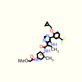 COCC(=O)N[C@@H]1CC[C@@H](NC(=O)c2c(C)[nH]c3c(-c4cc(C(F)F)ccc4OCC4CC4)ncnc23)[C@H](C)C1